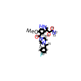 COc1cc2[nH]cc(C(=O)C(=O)N(C)C)c2cc1C(=O)N1C[C@H](C)N(C(C)c2ccc(F)cc2)C[C@H]1C